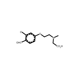 CN(CCOc1ccc(C=O)c(Cl)c1)CC(=O)O